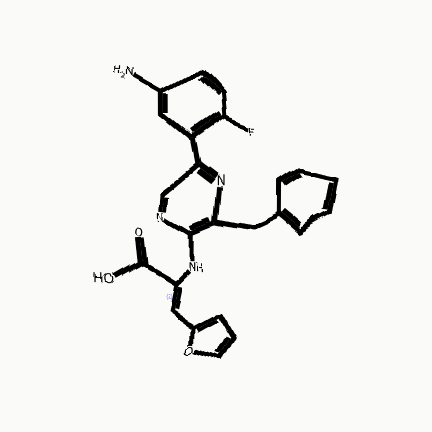 Nc1ccc(F)c(-c2cnc(N/C(=C\c3ccco3)C(=O)O)c(Cc3ccccc3)n2)c1